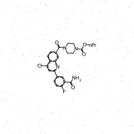 CCCOC(=O)N1CCN(C(=O)c2ccc3c(Cl)cc(-c4ccc(F)c(C(N)=O)c4)nc3c2)CC1